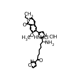 CCn1ccc2cc(-c3cnc([C@@H](N)CCCCCC(=O)c4ccon4)[nH]3)c(OC)cc2c1=O.Cl.Cl